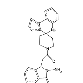 NN1C(=O)c2ccccc2C1CC(=O)N1CCC2(CC1)Nc1ccccc1-n1cccc12